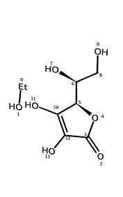 CCO.O=C1O[C@H]([C@@H](O)CO)C(O)=C1O